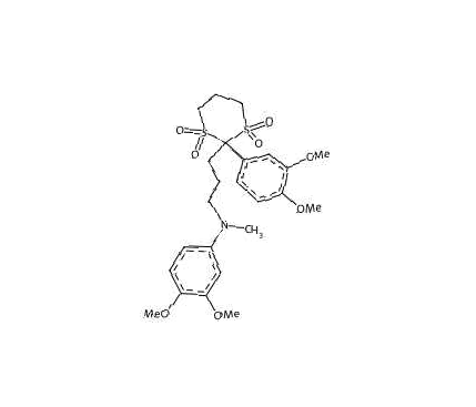 COc1ccc(N(C)CCCC2(c3ccc(OC)c(OC)c3)S(=O)(=O)CCCS2(=O)=O)cc1OC